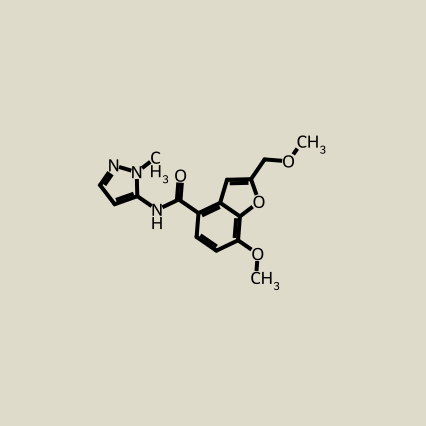 COCc1cc2c(C(=O)Nc3ccnn3C)ccc(OC)c2o1